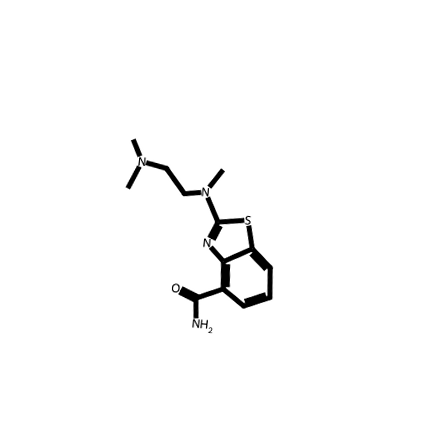 CN(C)CCN(C)c1nc2c(C(N)=O)cccc2s1